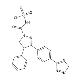 O=C(NS(=O)(=O)Cl)N1CC(c2ccccc2)C(c2ccc(C3=NCN=N3)cc2)=N1